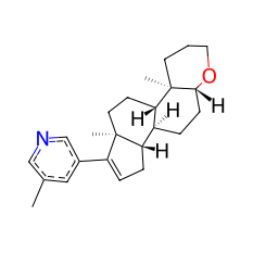 Cc1cncc(C2=CC[C@H]3[C@@H]4CC[C@H]5OCCC[C@]5(C)[C@H]4CC[C@]23C)c1